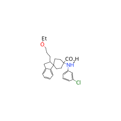 CCOCCCC1Cc2ccccc2C12CCC(Nc1cccc(Cl)c1)(C(=O)O)CC2